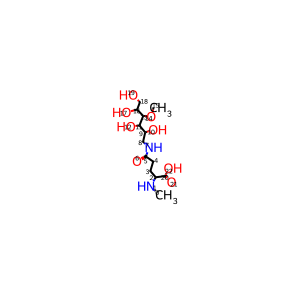 CNC(CCC(=O)NCC(O)C(O)C(OC)C(O)CO)C(=O)O